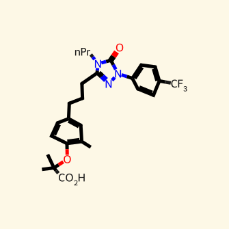 CCCn1c(CCCc2ccc(OC(C)(C)C(=O)O)c(C)c2)nn(-c2ccc(C(F)(F)F)cc2)c1=O